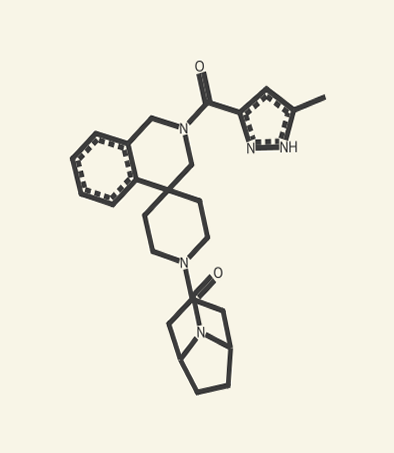 Cc1cc(C(=O)N2Cc3ccccc3C3(CCN(C4CC5CCC(C4)N5C=O)CC3)C2)n[nH]1